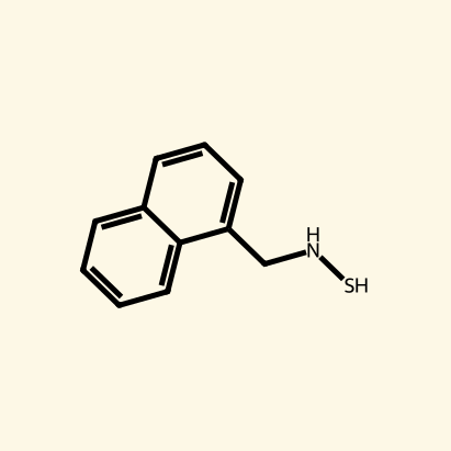 SNCc1cccc2ccccc12